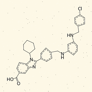 O=C(O)c1ccc2c(c1)nc(-c1ccc(CNc3cccc(NCc4ccc(Cl)cc4)c3)cc1)n2C1CCCCC1